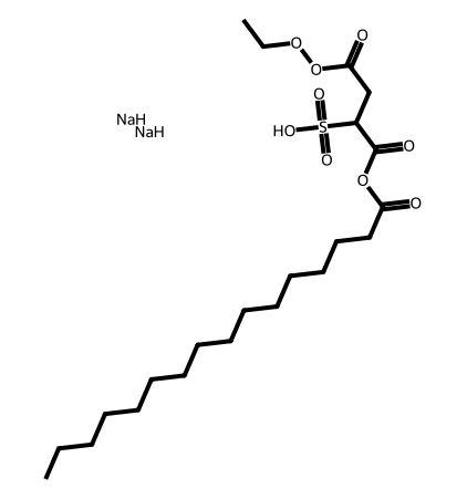 CCCCCCCCCCCCCCCC(=O)OC(=O)C(CC(=O)OOCC)S(=O)(=O)O.[NaH].[NaH]